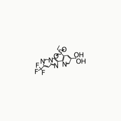 CCS(=O)(=O)c1cc(C(O)O)cnc1-c1cn2cnc(C(F)(F)F)cc2n1